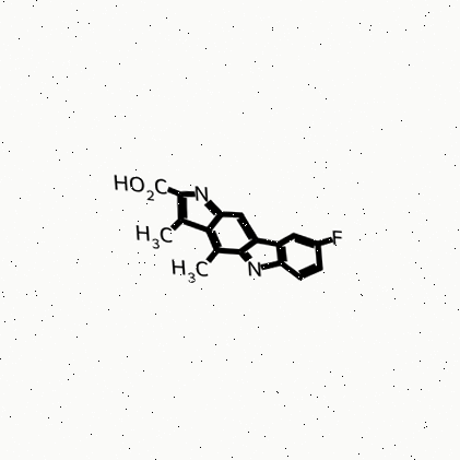 CC1=C(C(=O)O)N=c2cc3c(c(C)c21)=Nc1ccc(F)cc1-3